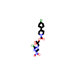 CC(O)(COC(=O)N1CC=C(c2ccc(Br)cc2)CC1)Cn1cc([N+](=O)[O-])nc1Cl